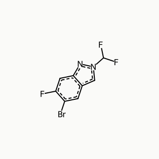 Fc1cc2nn(C(F)F)cc2cc1Br